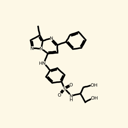 Cc1cnn2c(Nc3ccc(S(=O)(=O)NC(CO)CO)cc3)cc(-c3ccccc3)nc12